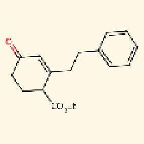 CCOC(=O)C1CCC(=O)C=C1CCc1ccccc1